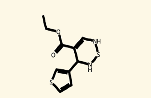 CCOC(=O)C1=CNSNC1c1ccsc1